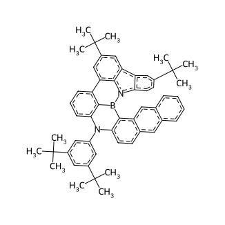 CC(C)(C)c1cc(N2c3cccc4c3B(c3c2ccc2cc5ccccc5cc32)n2c3ccc(C(C)(C)C)cc3c3cc(C(C)(C)C)cc-4c32)cc(C(C)(C)C)c1